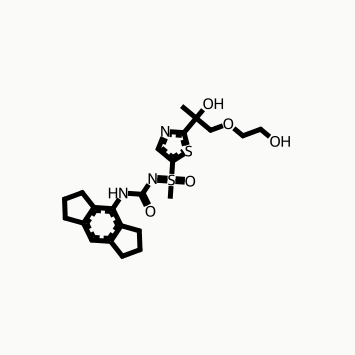 CC(O)(COCCO)c1ncc(S(C)(=O)=NC(=O)Nc2c3c(cc4c2CCC4)CCC3)s1